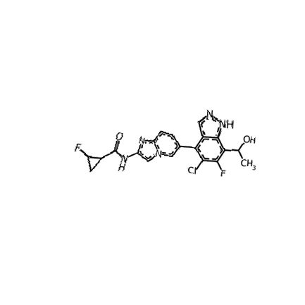 CC(O)c1c(F)c(Cl)c(-c2ccc3nc(NC(=O)C4CC4F)cn3c2)c2cn[nH]c12